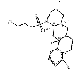 NCCCS(=O)(=O)N1CCC[C@H]2CN3CCc4c(Cl)cccc4[C@@H]3C[C@H]21